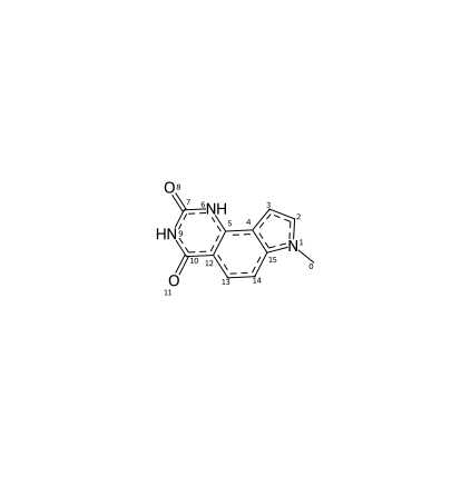 Cn1ccc2c3[nH]c(=O)[nH]c(=O)c3ccc21